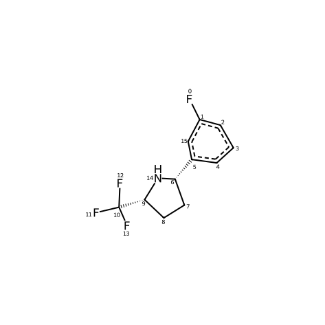 Fc1cccc([C@@H]2CC[C@H](C(F)(F)F)N2)c1